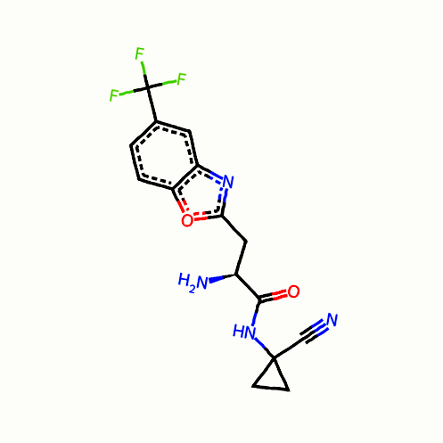 N#CC1(NC(=O)[C@@H](N)Cc2nc3cc(C(F)(F)F)ccc3o2)CC1